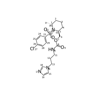 C[C@@H]1CCC[C@@H](COC(=O)NCCCn2ccnc2)N1S(=O)(=O)c1ccc(Cl)cc1